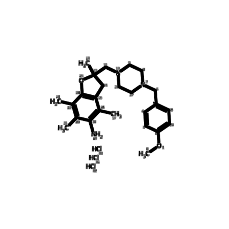 COc1ccc(CN2CCN(CC3(C)Cc4c(C)c(N)c(C)c(C)c4O3)CC2)cc1.Cl.Cl.Cl